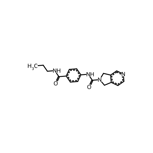 CCCNC(=O)c1ccc(NC(=O)N2Cc3ccncc3C2)cc1